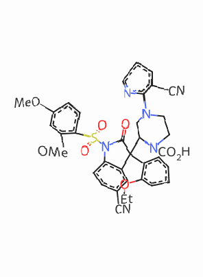 CCOc1ccccc1C1(C2CN(c3ncccc3C#N)CCN2C(=O)O)C(=O)N(S(=O)(=O)c2ccc(OC)cc2OC)c2ccc(C#N)cc21